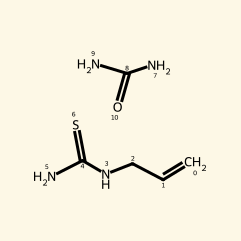 C=CCNC(N)=S.NC(N)=O